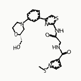 CSn1ccc(C(=O)NCC(=O)Nc2nc(-c3cccc(N4CCO[C@@H](CO)C4)c3)cs2)c1